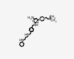 CN(C)CCN1CCN(c2cc(N)nc(NCc3ccc(CNCCCNC4CCCCC4)cc3)n2)CC1